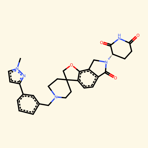 Cn1ccc(-c2cccc(CN3CCC4(CC3)COc3c4ccc4c3CN([C@H]3CCC(=O)NC3=O)C4=O)c2)n1